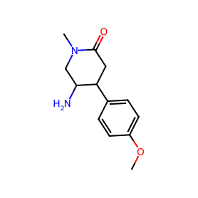 COc1ccc(C2CC(=O)N(C)CC2N)cc1